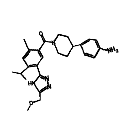 COCc1nnc(-c2cc(C(=O)N3CCC(c4ccc(N)cc4)CC3)c(C)cc2C(C)C)[nH]1